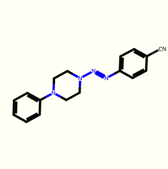 N#Cc1ccc(N=NN2CCN(c3ccccc3)CC2)cc1